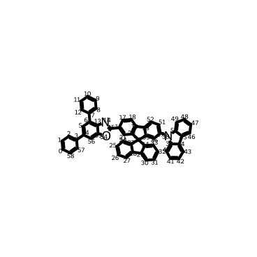 c1ccc(-c2cc(-c3ccccc3)c3nc(-c4ccc5c(c4)C4(c6ccccc6-c6ccccc64)c4cc(-n6c7ccccc7c7ccccc76)ccc4-5)oc3c2)cc1